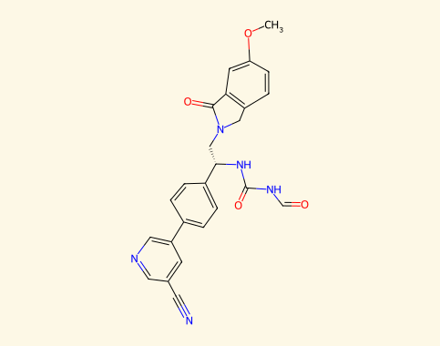 COc1ccc2c(c1)C(=O)N(C[C@H](NC(=O)NC=O)c1ccc(-c3cncc(C#N)c3)cc1)C2